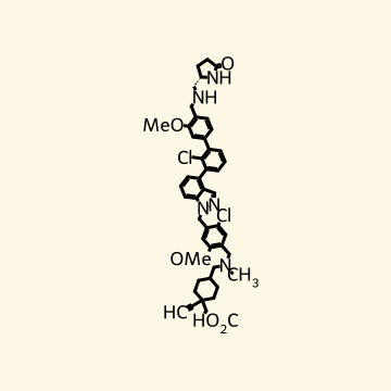 C#CC1(CC(=O)O)CCC(CN(C)Cc2cc(Cl)c(Cn3ncc4c(-c5cccc(-c6ccc(CNC[C@@H]7CCC(=O)N7)c(OC)c6)c5Cl)cccc43)cc2OC)CC1